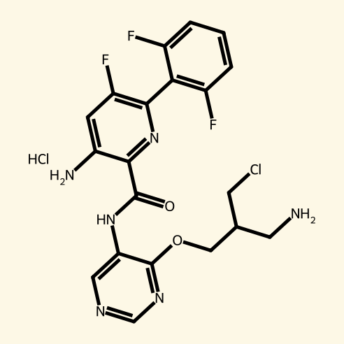 Cl.NCC(CCl)COc1ncncc1NC(=O)c1nc(-c2c(F)cccc2F)c(F)cc1N